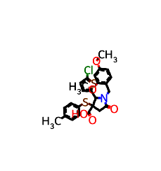 COc1ccc(CN2C(=O)CC(Sc3ccc(C)cc3)(C(=O)O)C2c2ccc(Cl)s2)c(OC)c1